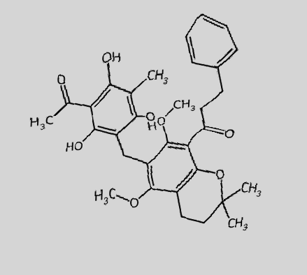 COc1c(Cc2c(O)c(C)c(O)c(C(C)=O)c2O)c(OC)c(C(=O)CCc2ccccc2)c2c1CCC(C)(C)O2